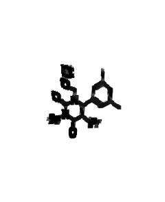 CCOCn1c(-c2cc(C)cc(C)c2)c(C(C)C)c(=O)n([Se])c1=O